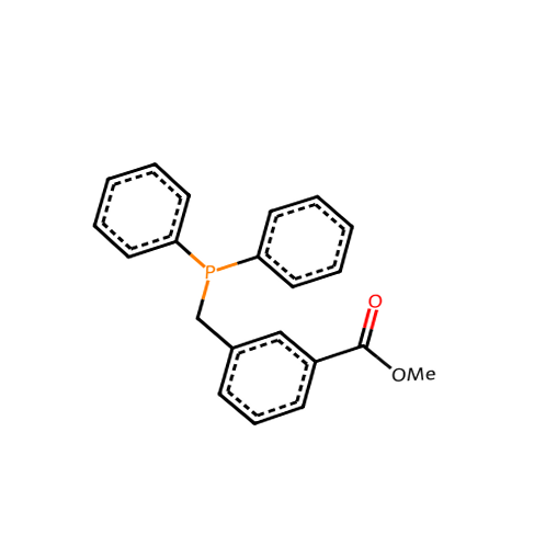 COC(=O)c1cccc(CP(c2ccccc2)c2ccccc2)c1